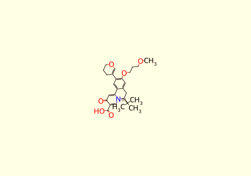 COCCCOc1cc2c(cc1C1=COCCC1)-c1cc(=O)c(C(=O)O)cn1[C@H](C(C)(C)C)C2